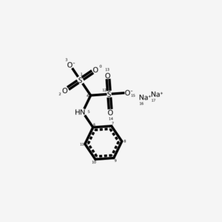 O=S(=O)([O-])C(Nc1ccccc1)S(=O)(=O)[O-].[Na+].[Na+]